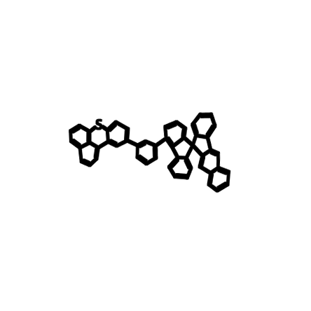 c1cc(-c2ccc3c(c2)-c2cccc4cccc(c24)S3)cc(-c2cccc3c2-c2ccccc2C32c3ccccc3-c3cc4ccccc4cc32)c1